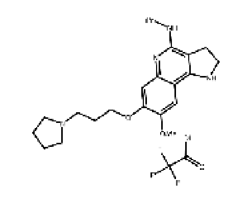 COc1cc2c3c(c(NC(C)C)nc2cc1OCCCN1CCCC1)CCN3.O=C(O)C(F)(F)F